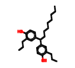 CCCCCCCCC(c1ccc(O)c(CCC)c1)c1ccc(O)c(CCC)c1